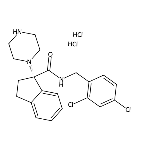 Cl.Cl.O=C(NCc1ccc(Cl)cc1Cl)[C@]1(N2CCNCC2)CCc2ccccc21